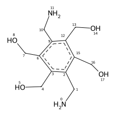 NCc1c(CO)c(CO)c(CN)c(CO)c1CO